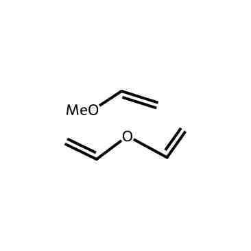 C=COC.C=COC=C